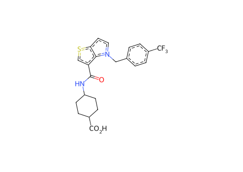 O=C(NC1CCC(C(=O)O)CC1)c1csc2ccn(Cc3ccc(C(F)(F)F)cc3)c12